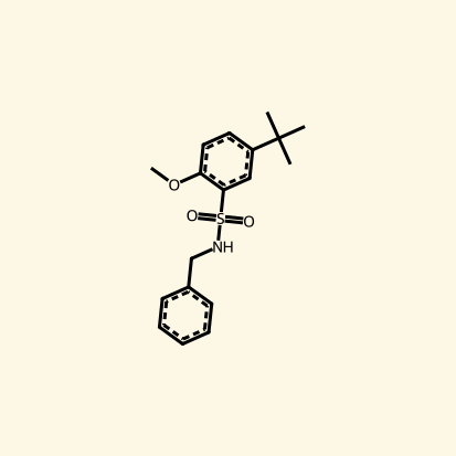 COc1ccc(C(C)(C)C)cc1S(=O)(=O)NCc1ccccc1